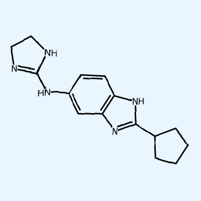 c1cc2[nH]c(C3CCCC3)nc2cc1NC1=NCCN1